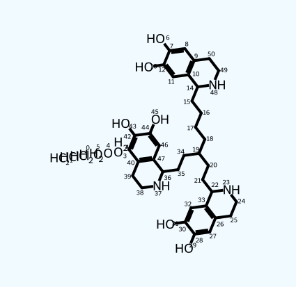 Cl.Cl.Cl.O.O.O.Oc1cc2c(cc1O)C(CCCCC(CCC1NCCc3cc(O)c(O)cc31)CCC1NCCc3cc(O)c(O)cc31)NCC2